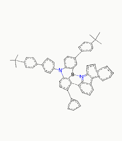 CC(C)(C)c1ccc(-c2ccc(N3c4ccc(-c5ccc(C(C)(C)C)cc5)cc4B4c5c3ccc(-c3ccccc3)c5-c3cccc5c6c7ccccc7ccc6n4c35)cc2)cc1